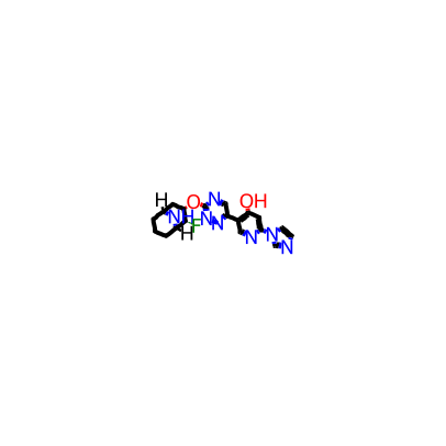 Oc1cc(-n2ccnc2)ncc1-c1cnc(O[C@@H]2C[C@H]3CCC[C@H](N3)[C@H]2F)nn1